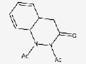 CC(=O)N1C(=O)CC2C=CC=CC2N1C(C)=O